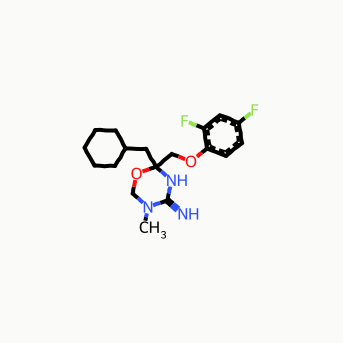 CN1COC(COc2ccc(F)cc2F)(CC2CCCCC2)NC1=N